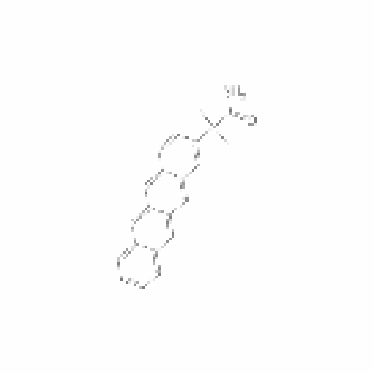 CC(C)(C(N)=O)c1ccc2cc3cc4ccccc4cc3cc2c1